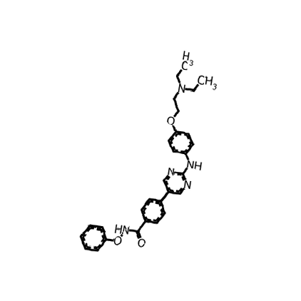 CCN(CC)CCOc1ccc(Nc2ncc(-c3ccc(C(=O)NOc4ccccc4)cc3)cn2)cc1